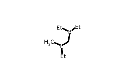 CCB(CC)CP(C)CC